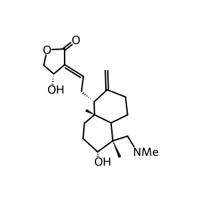 C=C1CCC2[C@](C)(CNC)[C@H](O)CC[C@]2(C)[C@@H]1C/C=C1/C(=O)OC[C@H]1O